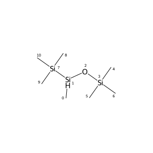 C[SiH](O[Si](C)(C)C)[Si](C)(C)C